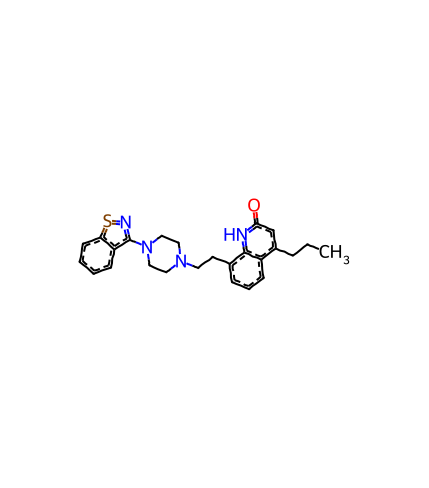 CCCc1cc(=O)[nH]c2c(CCN3CCN(c4nsc5ccccc45)CC3)cccc12